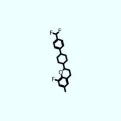 Cc1cc(F)c2c(c1)CCC(C1CCC(c3ccc(C(F)F)cc3)CC1)O2